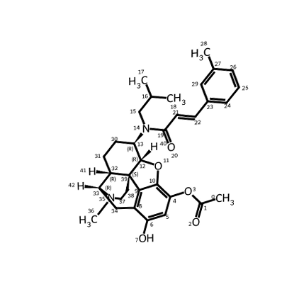 CC(=O)Oc1cc(O)c2c3c1O[C@H]1[C@H](N(CC(C)C)C(=O)C=Cc4cccc(C)c4)CC[C@H]4[C@@H](C2)N(C)CC[C@@]341